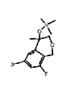 CC1(O[Si](C)(C)C)COCc2c(F)cc(Br)cc21